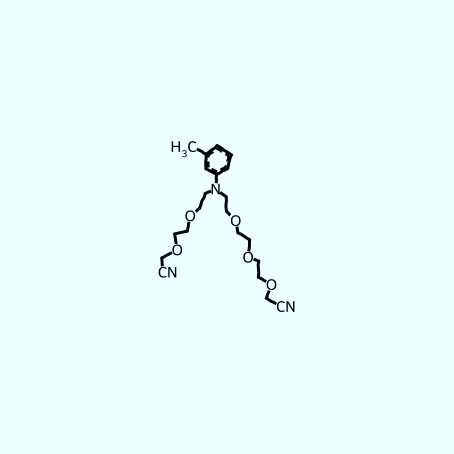 Cc1cccc(N(CCOCCOCC#N)CCOCCOCCOCC#N)c1